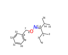 CCC(C)/C(=N\OCc1ccccc1)C(C)C